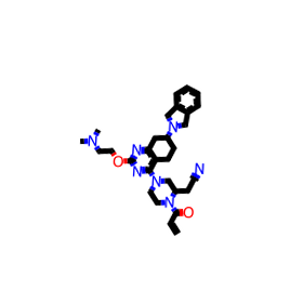 C=CC(=O)N1CCN(c2nc(OCCN(C)C)nc3c2CCC(N2Cc4ccccc4C2)C3)CC1CC#N